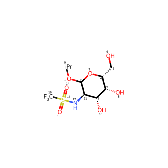 CC(C)OC1O[C@H](CO)[C@H](O)[C@H](O)[C@H]1NS(=O)(=O)C(F)(F)F